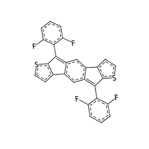 Fc1cccc(F)c1C1=c2cc3c(cc2-c2ccsc21)=C(c1c(F)cccc1F)c1sccc1-3